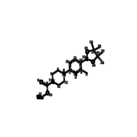 Cc1nc(N2CCN(C(=O)OC(C)(C)C)CC2)ccc1B1OC(C)(C)C(C)(C)O1